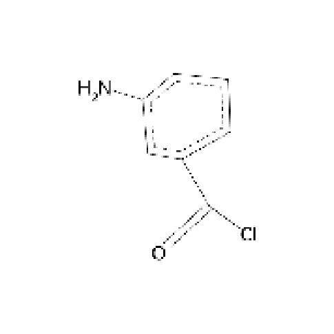 Nc1cccc(C(=O)Cl)c1